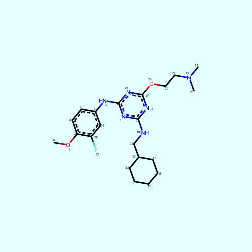 COc1ccc(Nc2nc(NCC3CCCCC3)nc(OCCN(C)C)n2)cc1F